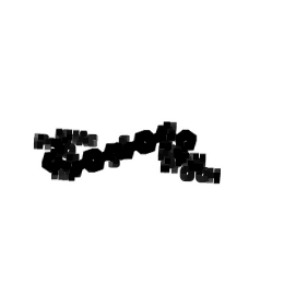 CC(=O)N[C@H](C(=O)N1CCCC1c1nc(-c2ccc(-c3cc4sc(-c5ccc(-c6cnc([C@@H]7CCCN7C(=O)[C@@H](NC(=O)CO)C(C)C)[nH]6)cc5)cc4s3)cc2)c[nH]1)C(C)C